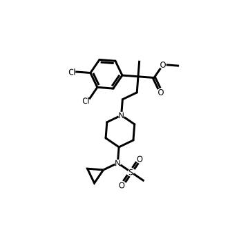 COC(=O)C(C)(CCN1CCC(N(C2CC2)S(C)(=O)=O)CC1)c1ccc(Cl)c(Cl)c1